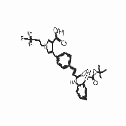 CC(C)(C)OC(=O)Nc1ccccc1NC(=O)C=Cc1ccc(C2CN(CCC(F)(F)F)CC2C(=O)O)cc1